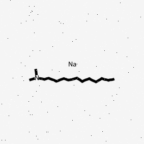 CCCCCCCCCCCCN(C)C.[Na]